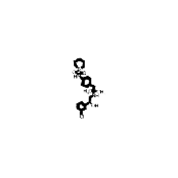 CC(C)(Cc1ccc(NS(=O)(=O)N2CCCCC2)cc1)NC[C@@H](O)c1cccc(Cl)c1